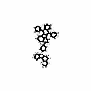 c1ccc(-c2c3c(c(-c4ccccc4)c4ccccc24)-c2ccc(-c4ccc(-n5c6ccccc6c6c7ncccc7ccc65)cc4)c4cccc-3c24)cc1